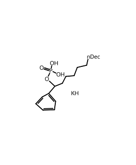 CCCCCCCCCCCCCCCC(OP(=O)(O)O)c1ccccc1.[KH]